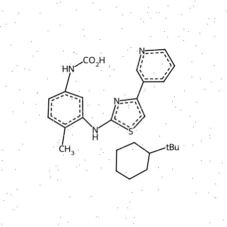 CC(C)(C)C1CCCCC1.Cc1ccc(NC(=O)O)cc1Nc1nc(-c2cccnc2)cs1